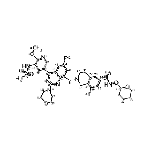 COc1ncc(-c2nc(N3CCOCC3)nc3c(CN4CCc5cc(C(=O)NOC6CCCCO6)cc(F)c5C4)cc(F)cc23)cc1NS(C)(=O)=O